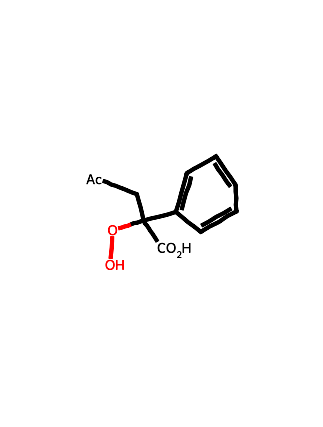 CC(=O)CC(OO)(C(=O)O)c1ccccc1